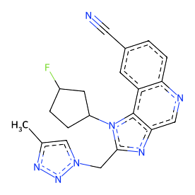 Cc1cn(Cc2nc3cnc4ccc(C#N)cc4c3n2C2CCC(F)C2)nn1